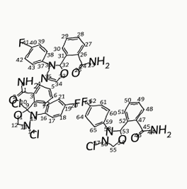 NC(=O)c1ccccc1C1(Cl)OCN(Cl)N1c1ccc(F)cc1.NC(=O)c1ccccc1C1OC=NN1c1ccc(F)cc1.NC(=O)c1ccccc1C1OCN(Cl)N1c1ccc(F)cc1